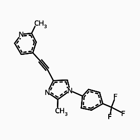 Cc1cc(C#Cc2cn(-c3ccc(C(F)(F)F)cc3)c(C)n2)ccn1